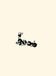 C=NN1C=C(OCC(C)(C)O)C=C(c2cnc(N3CCC(O)(Cc4ncccc4F)CC3)cn2)/C1=C(/C)C#N